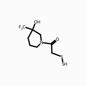 O=C(CSS)N1CCCC(O)(C(F)(F)F)C1